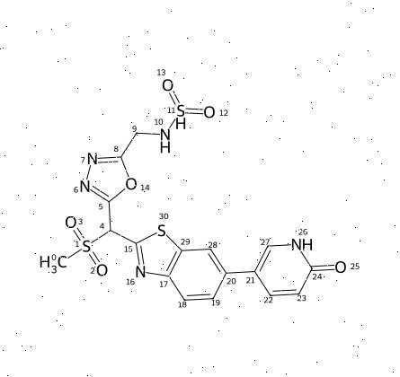 CS(=O)(=O)C(c1nnc(CN[SH](=O)=O)o1)c1nc2ccc(-c3ccc(=O)[nH]c3)cc2s1